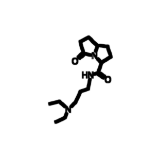 CCN(CC)CCCNC(=O)C1CCC2CCC(=O)N21